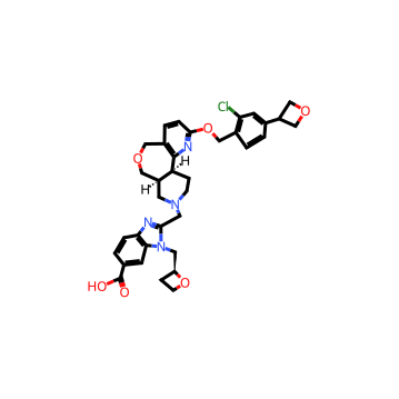 O=C(O)c1ccc2nc(CN3CC[C@@H]4c5nc(OCc6ccc(C7COC7)cc6Cl)ccc5COC[C@@H]4C3)n(C[C@@H]3CCO3)c2c1